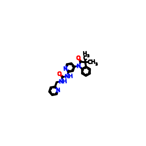 CC1(C)C(=O)N(c2ccnc(NC(=O)NCc3ccccn3)c2)c2ccccc21